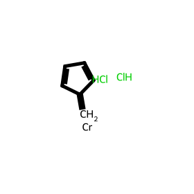 C=C1C=CC=C1.Cl.Cl.[Cr]